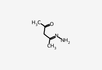 CC(=O)CC(C)=NN